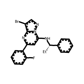 CC[C@H](Nc1cc(-c2ccccc2F)nc2c(Br)cnn12)c1ccccc1